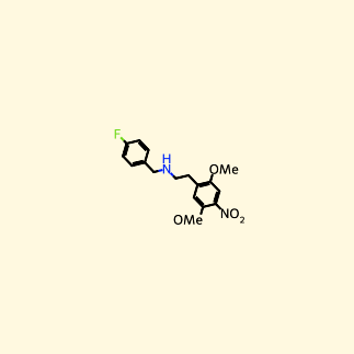 COc1cc([N+](=O)[O-])c(OC)cc1CCNCc1ccc(F)cc1